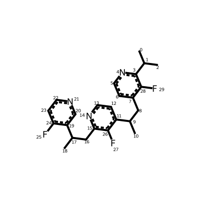 CC(C)c1nccc(CC(C)c2ccnc(CC(C)c3cnccc3F)c2F)c1F